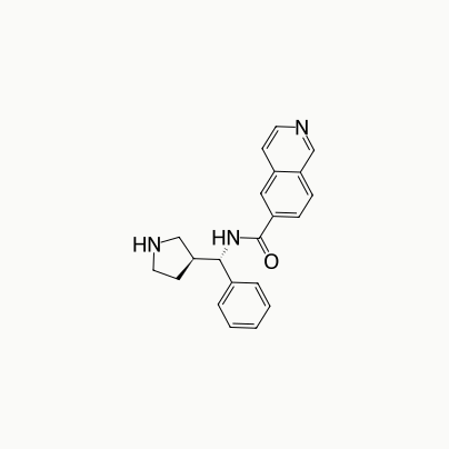 O=C(N[C@H](c1ccccc1)[C@H]1CCNC1)c1ccc2cnccc2c1